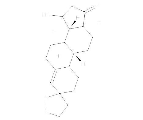 CC[C@]12CC[C@H]3[C@@H](CCC4=CC5(CCSS5)CC[C@@H]43)[C@@H]1C(O)CC2=O